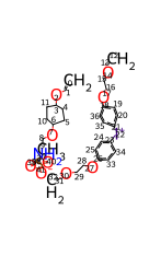 C=COC1CCC(OCC)CC1.C=COCCOc1ccc([I+]c2ccc(OCCOC=C)cc2)cc1.NS(=O)(=O)[O-]